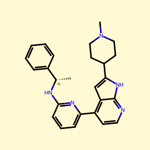 C[C@H](Nc1cccc(-c2ccnc3[nH]c(C4CCN(C)CC4)cc23)n1)c1ccccc1